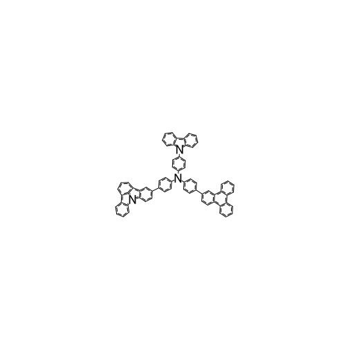 c1ccc2c(c1)c1ccccc1c1cc(-c3ccc(N(c4ccc(-c5ccc6c(c5)c5cccc7c8ccccc8n6c75)cc4)c4ccc(-n5c6ccccc6c6ccccc65)cc4)cc3)ccc21